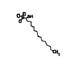 CCCCCCCCCCCCCC[C@H](S)[Si](Cl)(Cl)Cl